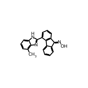 Cc1cccc2[nH]c(-c3cccc4c3-c3ccccc3C4=NO)nc12